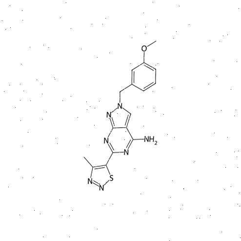 COc1cccc(Cn2cc3c(N)nc(-c4snnc4C)nc3n2)c1